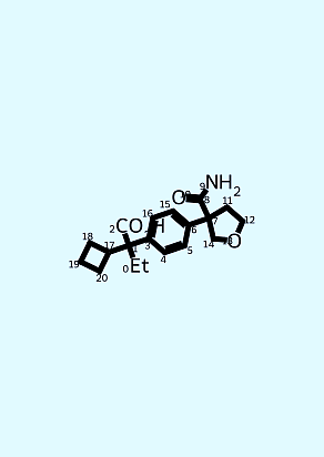 CCC(C(=O)O)(c1ccc(C2(C(N)=O)CCOC2)cc1)C1CCC1